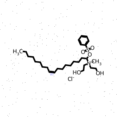 CCCCCCCC/C=C\CCCCCCCC(OS(=O)(=O)c1ccccc1)[N+](C)(CCO)CCO.[Cl-]